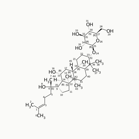 CC(C)=CCC[C@](C)(O)[C@H]1CC[C@@]2(C)[C@@H]1[C@H](O)C[C@@H]1[C@@]3(C)CC[C@H](O[C@@H]4O[C@H](CO)[C@@H](O)[C@H](O)[C@H]4O)C(C)(C)C3CC[C@]12C